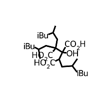 CCC(C)C(C)CC(C(=O)O)C(O)(C(=O)O)C(CC(C)C(C)CC)(CC(C)C(C)CC)C(=O)O